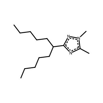 CCCCCC(CCCCC)c1nc(C)n(C)n1